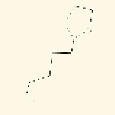 O=C(O)CCCCC1SCCS1